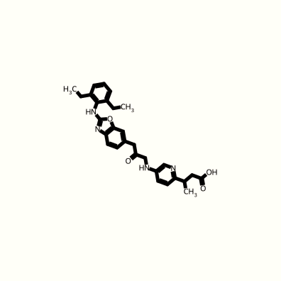 CCc1cccc(CC)c1Nc1nc2ccc(CC(=O)CNc3ccc(C(C)CC(=O)O)nc3)cc2o1